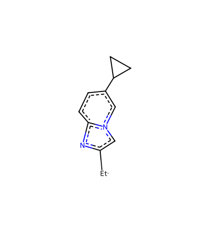 C[CH]c1cn2cc(C3CC3)ccc2n1